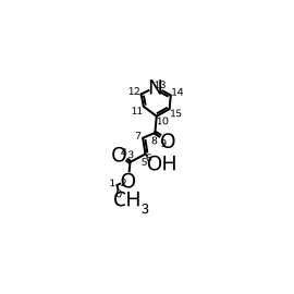 CCOC(=O)C(O)=CC(=O)c1ccncc1